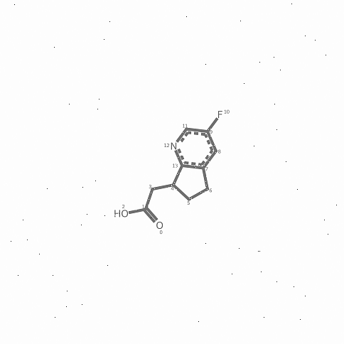 O=C(O)CC1CCc2cc(F)cnc21